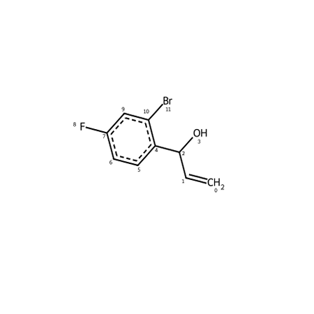 C=CC(O)c1ccc(F)cc1Br